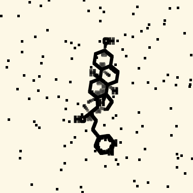 C[C@]12CC[C@H]3[C@@H](CC=C4C[C@@H](O)CC[C@@]43C)[C@@H]1CC[C@@H]2[C@](C)(O)CCc1ccnnc1